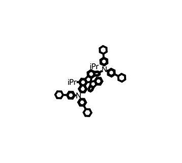 CC(C)c1cc2c(c3ccc(N(c4ccc(C5CCCCC5)cc4)c4ccc(C5CCCCC5)cc4)cc13)C1(c3ccccc3-c3ccccc31)c1c-2cc(C(C)C)c2cc(N(c3ccc(C4CCCCC4)cc3)c3ccc(C4CCCCC4)cc3)ccc12